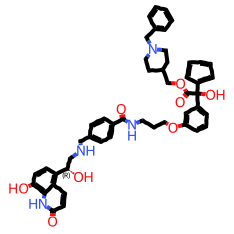 O=C(NCCCOc1cccc(C(O)(C(=O)OCC2CCN(Cc3ccccc3)CC2)c2ccccc2)c1)c1ccc(CNC[C@H](O)c2ccc(O)c3[nH]c(=O)ccc23)cc1